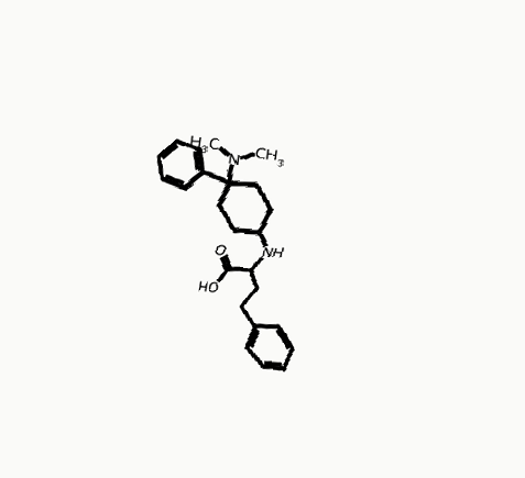 CN(C)C1(c2ccccc2)CCC(NC(CCc2ccccc2)C(=O)O)CC1